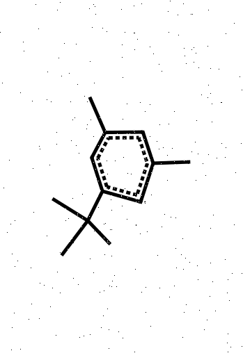 Cc1[c]c(C(C)(C)C)cc(C)c1